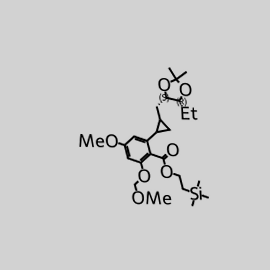 CC[C@H]1OC(C)(C)O[C@H]1CC1CC1c1cc(OC)cc(OCOC)c1C(=O)OCC[Si](C)(C)C